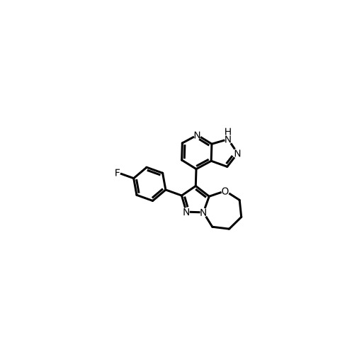 Fc1ccc(-c2nn3c(c2-c2ccnc4[nH]ncc24)OCCCC3)cc1